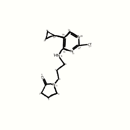 O=C1CCCN1CCCNc1nc(Cl)ncc1C1CC1